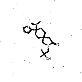 CN(C)C1(c2cccs2)CCC2(CC1)CC(=O)N(CC(C)(C)C#N)C2